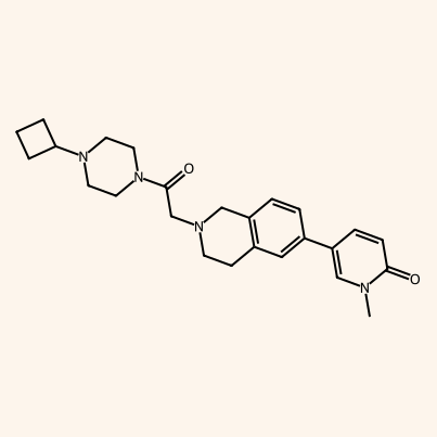 Cn1cc(-c2ccc3c(c2)CCN(CC(=O)N2CCN(C4CCC4)CC2)C3)ccc1=O